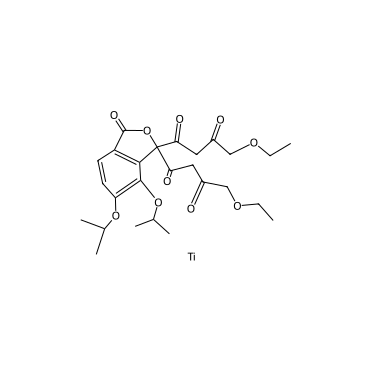 CCOCC(=O)CC(=O)C1(C(=O)CC(=O)COCC)OC(=O)c2ccc(OC(C)C)c(OC(C)C)c21.[Ti]